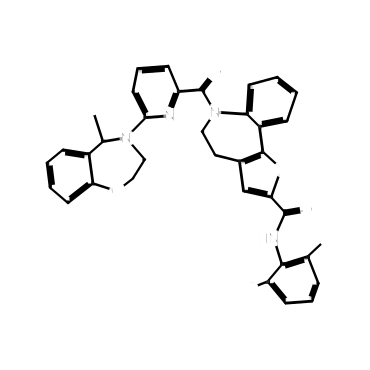 Cc1cccc(F)c1NC(=O)c1cc2c(s1)-c1ccccc1N(C(=O)c1cccc(N3CCOc4ccccc4C3C)n1)CC2